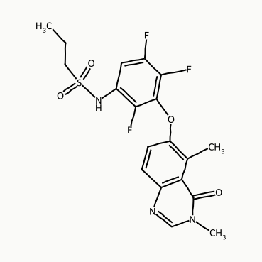 CCCS(=O)(=O)Nc1cc(F)c(F)c(Oc2ccc3ncn(C)c(=O)c3c2C)c1F